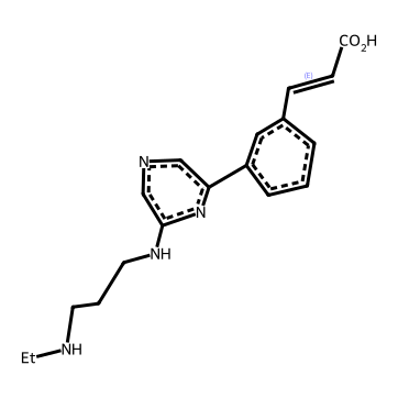 CCNCCCNc1cncc(-c2cccc(/C=C/C(=O)O)c2)n1